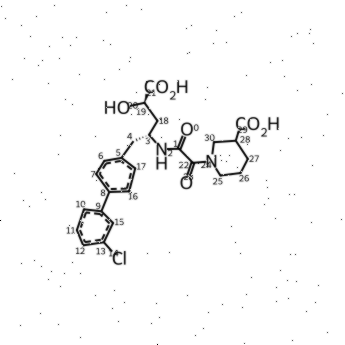 O=C(N[C@H](Cc1ccc(-c2cccc(Cl)c2)cc1)C[C@@H](O)C(=O)O)C(=O)N1CCCC(C(=O)O)C1